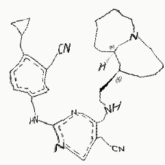 N#Cc1cc(Nc2ncc(C#N)c(NC[C@@H]3CCCN4CCCC[C@H]34)n2)ccc1C1CC1